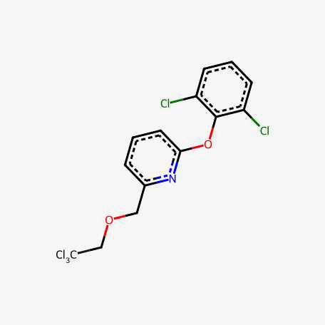 Clc1cccc(Cl)c1Oc1cccc(COCC(Cl)(Cl)Cl)n1